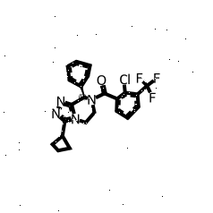 O=C(c1cccc(C(F)(F)F)c1Cl)N1CCn2c(C3CCC3)nnc2[C@H]1c1ccccc1